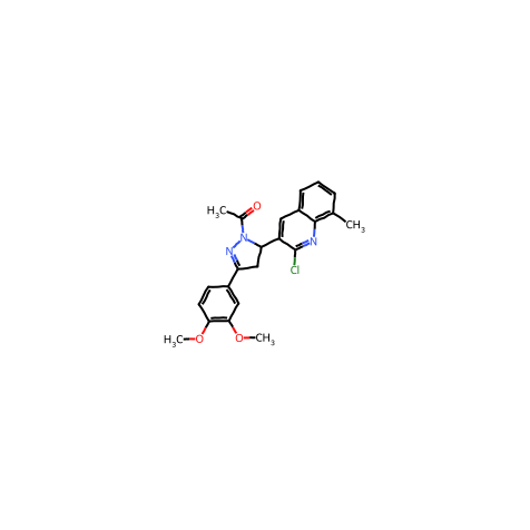 COc1ccc(C2=NN(C(C)=O)C(c3cc4cccc(C)c4nc3Cl)C2)cc1OC